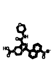 O=C(NC1CCOCC1)c1nc(-c2cccc3c([N+](=O)[O-])cccc23)n2c1CN(C(=O)O)CC2